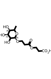 CC1O[C@@H](OCCC(=O)OCCC(=O)O)C(O)[C@@H](O)[C@H]1O